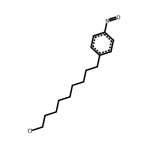 O=Nc1ccc(CCCCCCCCCCl)cc1